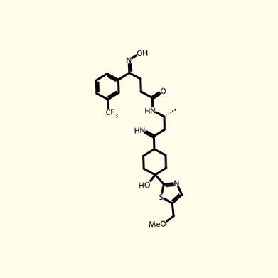 COCc1cnc(C2(O)CCC(C(=N)C[C@@H](C)NC(=O)CC/C(=N\O)c3cccc(C(F)(F)F)c3)CC2)s1